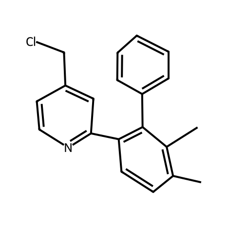 Cc1ccc(-c2cc(CCl)ccn2)c(-c2ccccc2)c1C